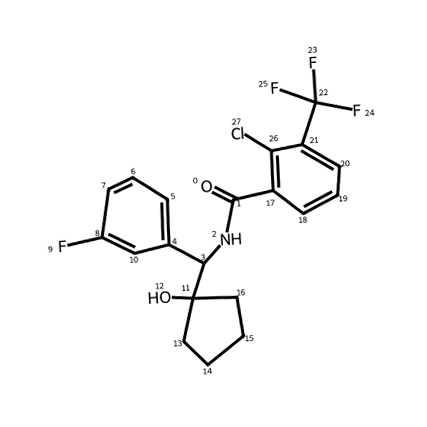 O=C(NC(c1cccc(F)c1)C1(O)CCCC1)c1cccc(C(F)(F)F)c1Cl